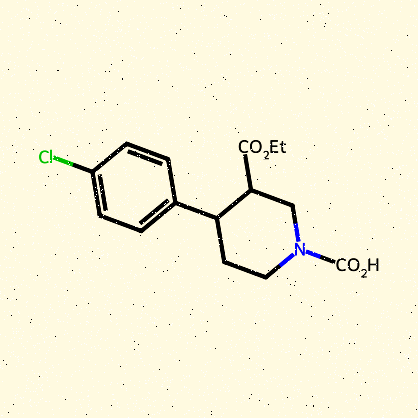 CCOC(=O)C1CN(C(=O)O)CCC1c1ccc(Cl)cc1